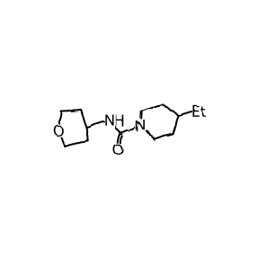 CCC1CCN(C(=O)NC2CCOCC2)CC1